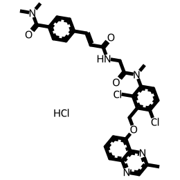 Cc1cnc2cccc(OCc3c(Cl)ccc(N(C)C(=O)CNC(=O)C=Cc4ccc(C(=O)N(C)C)cc4)c3Cl)c2n1.Cl